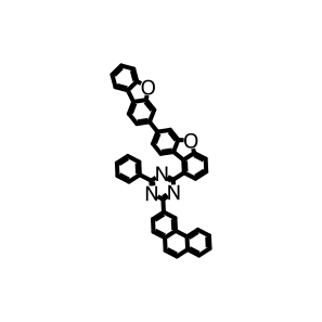 c1ccc(-c2nc(-c3ccc4ccc5ccccc5c4c3)nc(-c3cccc4oc5cc(-c6ccc7c(c6)oc6ccccc67)ccc5c34)n2)cc1